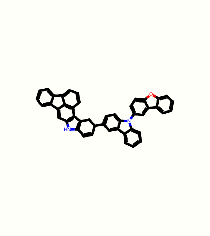 C1=CC(c2ccc3c(c2)c2ccccc2n3-c2ccc3oc4ccccc4c3c2)Cc2c1[nH]c1cc3c4c(cccc4c21)-c1ccccc1-3